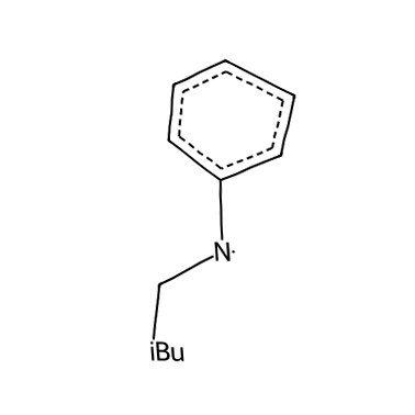 CCC(C)C[N]c1ccccc1